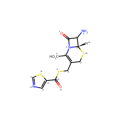 NC1C(=O)N2C(C(=O)O)=C(CSC(=O)c3cncs3)CS[C@@H]12